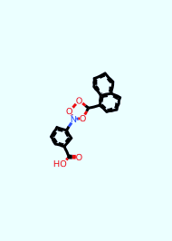 O=C(O)c1cccc(N2OOC(c3cccc4ccccc34)O2)c1